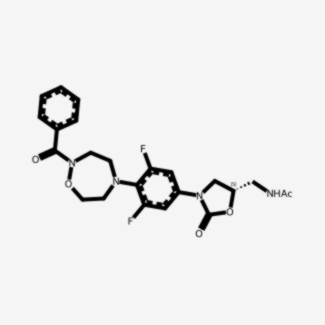 CC(=O)NC[C@H]1CN(c2cc(F)c(N3CCON(C(=O)c4ccccc4)CC3)c(F)c2)C(=O)O1